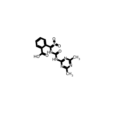 Cc1nc(C)nc(NC(=O)NC(c2ccccc2C(=O)O)=S(=O)=O)n1